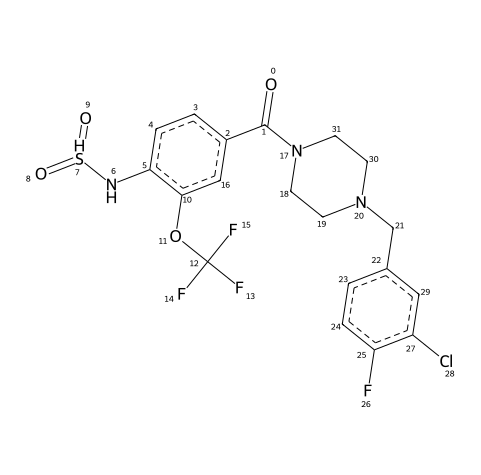 O=C(c1ccc(N[SH](=O)=O)c(OC(F)(F)F)c1)N1CCN(Cc2ccc(F)c(Cl)c2)CC1